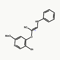 COc1cc(O/C(C#N)=C/Nc2ccccc2)c(C(C)C)cn1